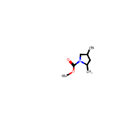 CC1CC(C#N)CN1C(=O)OC(C)(C)C